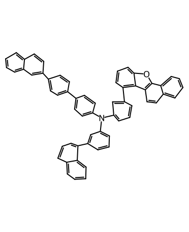 c1cc(-c2cccc3ccccc23)cc(N(c2ccc(-c3ccc(-c4ccc5ccccc5c4)cc3)cc2)c2cccc(-c3cccc4oc5c6ccccc6ccc5c34)c2)c1